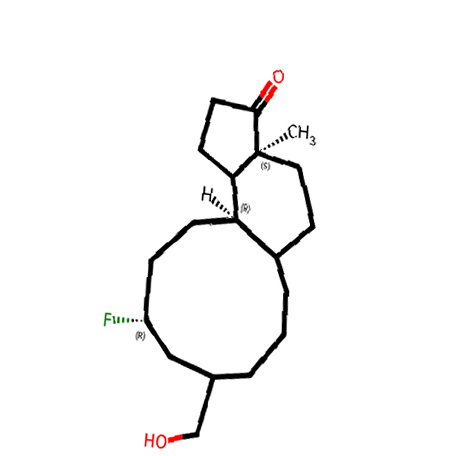 C[C@]12CCC3CCCC(CO)C[C@H](F)CC[C@H]3C1CCC2=O